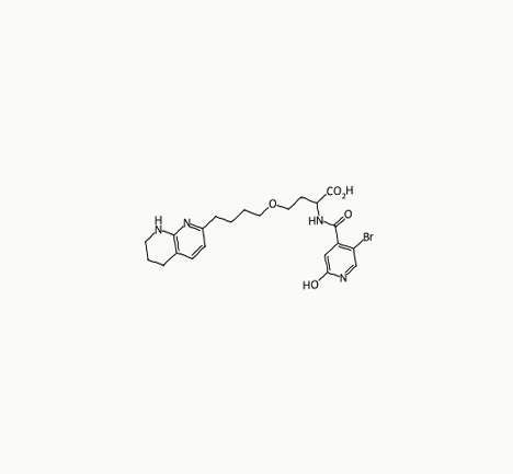 O=C(NC(CCOCCCCc1ccc2c(n1)NCCC2)C(=O)O)c1cc(O)ncc1Br